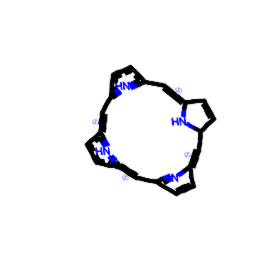 C1=C/C2=C/c3ccc([nH]3)/C=c3/cc/c([nH]3)=C/C3=NC(=C\[C]1N2)/C=C3